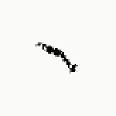 C=C(C)C(=O)OCCCCCCOc1ccc(-c2ccc(OCC(C)CC)cc2)cc1